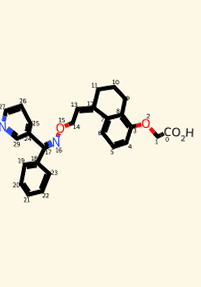 O=C(O)COc1cccc2c1CCC/C2=C/CO/N=C(/c1ccccc1)c1cccnc1